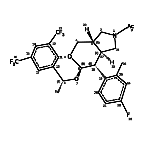 CC(=O)N1C[C@H]2CO[C@H](O[C@H](C)c3cc(C(F)(F)F)cc(C(F)(F)F)c3)[C@@H](c3ccc(F)cc3C)[C@@H]2C1